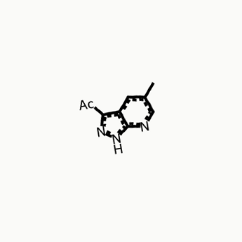 CC(=O)c1n[nH]c2ncc(C)cc12